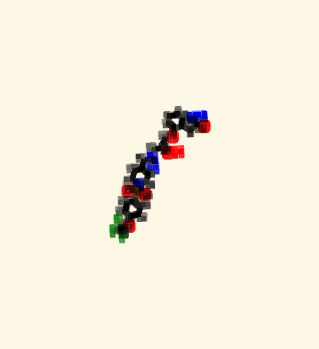 O=C1Cc2c(cccc2OC[C@H](O)CNCC2CCN(S(=O)(=O)c3ccc(OC(F)(F)F)cc3)CC2)N1